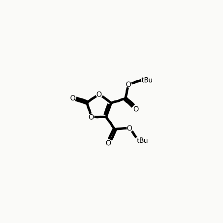 CC(C)(C)OC(=O)c1oc(=O)oc1C(=O)OC(C)(C)C